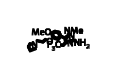 CNc1nc(N)nc(CC(F)(F)F)c1-c1ccc(OC)c(OCCCN2CCCC2)c1